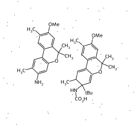 COc1cc2c(cc1C)-c1cc(C)c(N)cc1OC2(C)C.COc1cc2c(cc1C)C1=CC(C)C(NC(=O)O)(C(C)(C)C)C=C1OC2(C)C